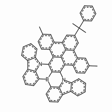 Cc1ccc2c(c1)c1cc(C(C)(C)c3ccccc3)cc3c4cc(C)ccc4c4c5c6c(c2c4c13)-n1c2ccccc2c2cccc(c21)B6c1cccc2c3ccccc3n-5c12